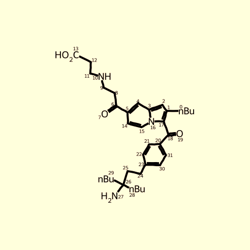 CCCCc1cc2cc(C(=O)CCNCCC(=O)O)ccn2c1C(=O)c1ccc(CCC(N)(CCCC)CCCC)cc1